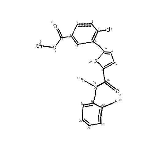 CCCOC(=O)c1ccc(Cl)c(-c2ccc(C(=O)N(F)c3ccccc3F)s2)c1